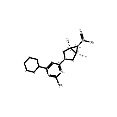 Nc1nc(C2CCCCC2)cc(N2C[C@@H]3[C@H](C2)[C@@H]3[N+](=O)[O-])n1